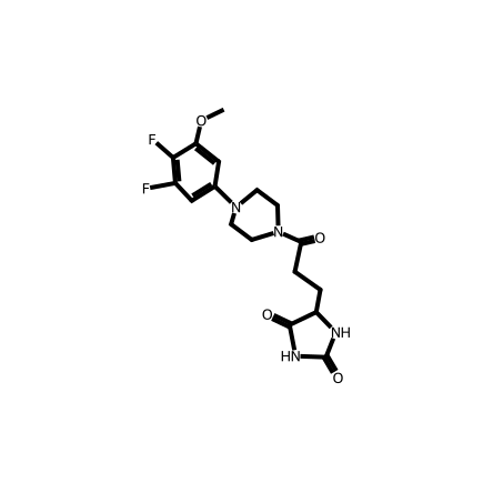 COc1cc(N2CCN(C(=O)CCC3NC(=O)NC3=O)CC2)cc(F)c1F